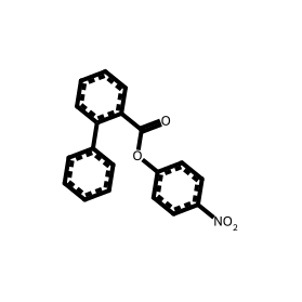 O=C(Oc1ccc([N+](=O)[O-])cc1)c1ccccc1-c1ccccc1